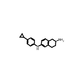 N[C@H]1CCc2cc(Nc3ccc(C4CC4)cc3)ccc2C1